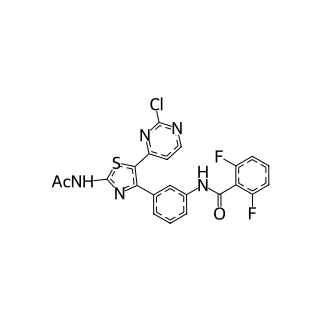 CC(=O)Nc1nc(-c2cccc(NC(=O)c3c(F)cccc3F)c2)c(-c2ccnc(Cl)n2)s1